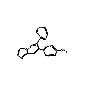 Nc1ccc(-c2cc3nccn3cc2-c2cccnc2)cc1